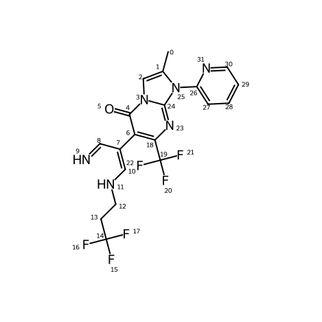 Cc1cn2c(=O)c(/C(C=N)=C/NCCC(F)(F)F)c(C(F)(F)F)nc2n1-c1ccccn1